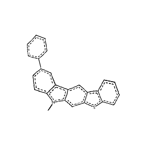 Cn1c2ccc(-c3ccccc3)cc2c2cc3c(cc21)sc1ccccc13